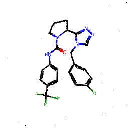 O=C(Nc1ccc(C(F)(F)F)cc1)N1CCCC1c1nncn1Cc1ccc(Cl)cc1